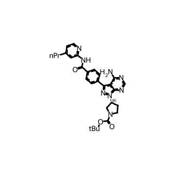 CCCc1ccnc(NC(=O)c2ccc(-c3nn([C@@H]4CCN(C(=O)OC(C)(C)C)C4)c4ncnc(N)c34)cc2)c1